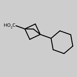 O=C(O)C12CC(C3CCCCC3)(C1)C2